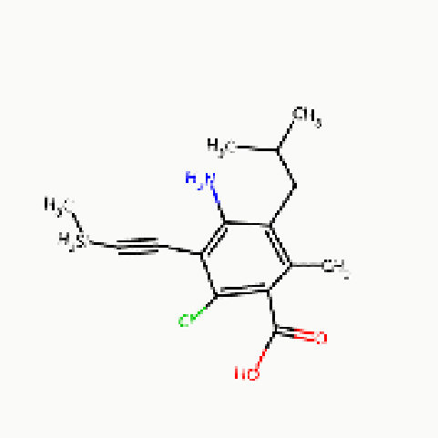 C[SiH2]C#Cc1c(N)c(CC(C)C)c(C)c(C(=O)O)c1Cl